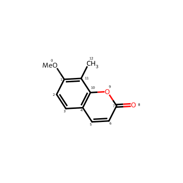 COc1ccc2ccc(=O)oc2c1C